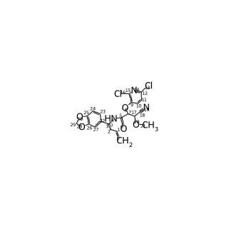 C=CC[C@H](NC(=O)C(Oc1ccc(Cl)nc1Cl)C(C#N)OC)c1ccc2c(c1)OCO2